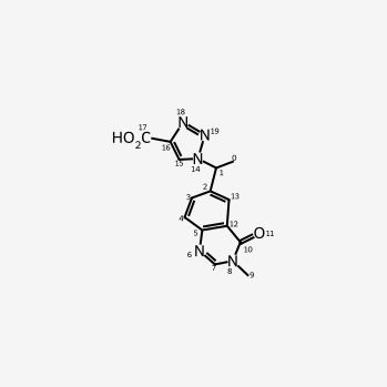 CC(c1ccc2ncn(C)c(=O)c2c1)n1cc(C(=O)O)nn1